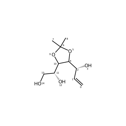 C=C[C@@H](O)C1OC(C)(C)OC1[C@H](O)CO